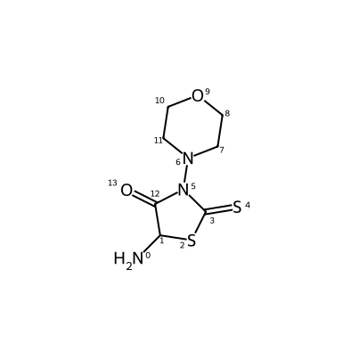 NC1SC(=S)N(N2CCOCC2)C1=O